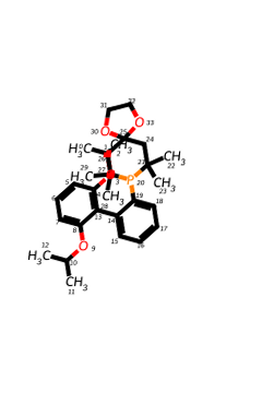 CC(C)Oc1cccc(OC(C)C)c1-c1ccccc1P1C(C)(C)CC2(CC1(C)C)OCCO2